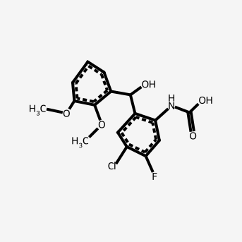 COc1cccc(C(O)c2cc(Cl)c(F)cc2NC(=O)O)c1OC